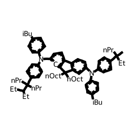 CCCCCCCCC1(CCCCCCCC)c2cc(N(c3ccc(C(C)CC)cc3)c3ccc(C(C)(CC)CCC)cc3)ccc2-c2ccc(N(c3ccc(C(C)CC)cc3)c3ccc(C(CCC)(CCC)C(CC)CC)cc3)cc21